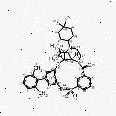 Cc1cccc(C)c1-c1cc2nc(n1)NS(=O)(=O)c1cccc(c1)C(=O)N1CCN(C3CCC(F)(F)CC3)C[C@@H](O2)[C@H]1CC(C)C